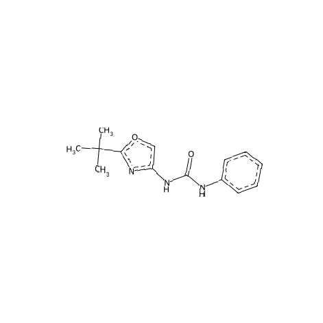 CC(C)(C)c1nc(NC(=O)Nc2ccccc2)co1